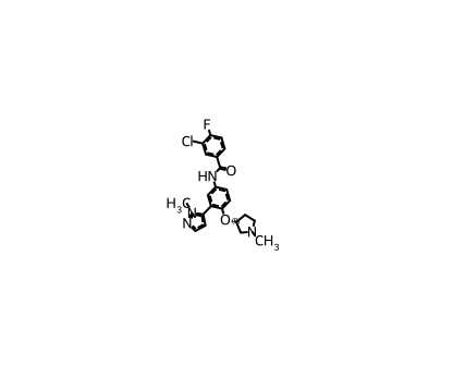 CN1CC[C@@H](Oc2ccc(NC(=O)c3ccc(F)c(Cl)c3)cc2-c2ccnn2C)C1